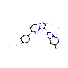 CCSc1nn2ccc(-c3ccc(OC(F)(F)F)cc3)nc2c1-c1nc2cc(C(F)(F)F)cnc2n1C